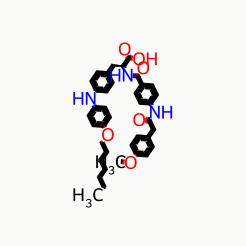 CCCCCCCOc1ccc(Nc2ccc(C[C@H](NC(=O)c3ccc(NC(=O)Cc4ccc(OC)cc4)cc3)C(=O)O)cc2)cc1